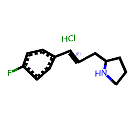 Cl.Fc1ccc(/C=C/CC2CCCN2)cc1